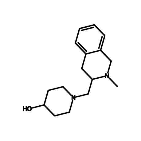 CN1Cc2ccccc2CC1CN1CCC(O)CC1